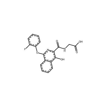 O=C(O)CNC(=O)c1nc(Oc2ccccc2F)c2ccccc2c1O